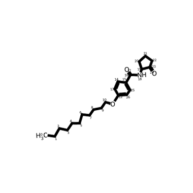 CCCCCCCCCCCOc1ccc(C(=O)NC2CCCC2=O)cc1